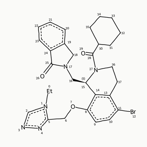 CCn1cnnc1COc1ccc(Br)c2c1[C@@H](CN1Cc3ccccc3C1=O)N(C(=O)C1CCCCC1)CC2